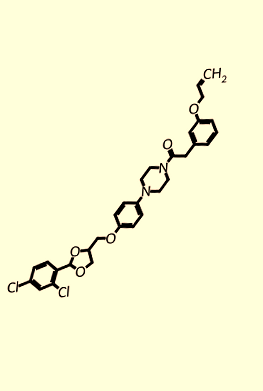 C=CCOc1cccc(CC(=O)N2CCN(c3ccc(OCC4COC(c5ccc(Cl)cc5Cl)O4)cc3)CC2)c1